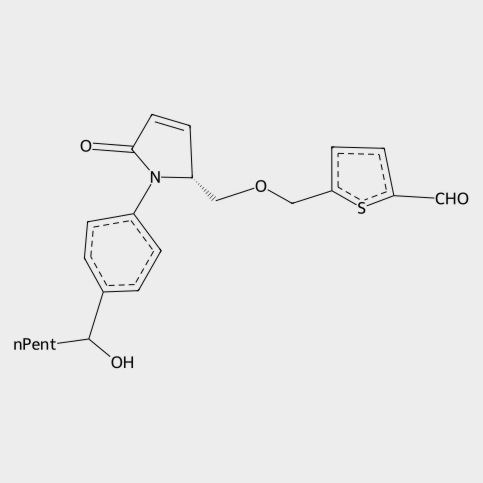 CCCCCC(O)c1ccc(N2C(=O)C=C[C@@H]2COCc2ccc(C=O)s2)cc1